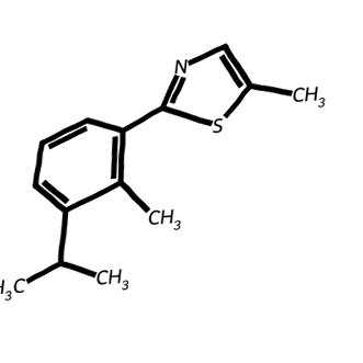 Cc1cnc(-c2cccc(C(C)C)c2C)s1